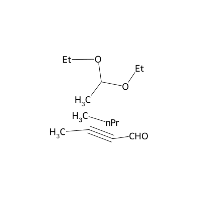 CC#CC=O.CCCC.CCOC(C)OCC